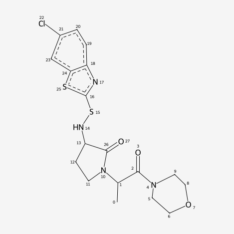 CC(C(=O)N1CCOCC1)N1CCC(NSc2nc3ccc(Cl)cc3s2)C1=O